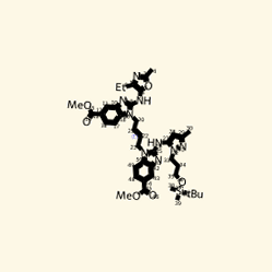 CCc1nc(C)oc1Nc1nc2cc(C(=O)OC)ccc2n1C/C=C/Cn1c(Nc2cc(C)nn2CCCO[Si](C)(C)C(C)(C)C)nc2cc(C(=O)OC)ccc21